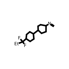 C=NC1CCC(C2CCC(C(F)(F)CC)CC2)CC1